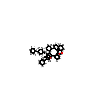 c1ccc(-c2ccc(N(c3cccc4c3-c3ccccc3-c3ccccc3C3(c5ccccc5-c5ccccc53)c3ccccc3-4)c3cccc4c3sc3ccccc34)cc2)cc1